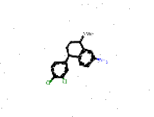 CNC1CCC(c2ccc(Cl)c(Cl)c2)c2ccc(N)cc21